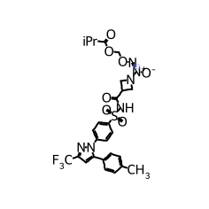 Cc1ccc(-c2cc(C(F)(F)F)nn2-c2ccc(S(=O)(=O)NC(=O)C3CN(/[N+]([O-])=N\OCOC(=O)C(C)C)C3)cc2)cc1